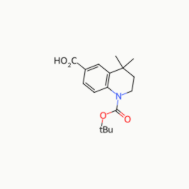 CC(C)(C)OC(=O)N1CCC(C)(C)c2cc(C(=O)O)ccc21